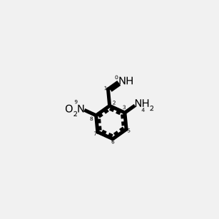 N=Cc1c(N)cccc1[N+](=O)[O-]